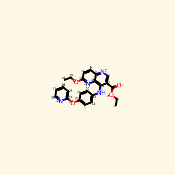 CCOC(=O)c1cnc2ccc(OCC)nc2c1Nc1ccc(Oc2ccccn2)cc1